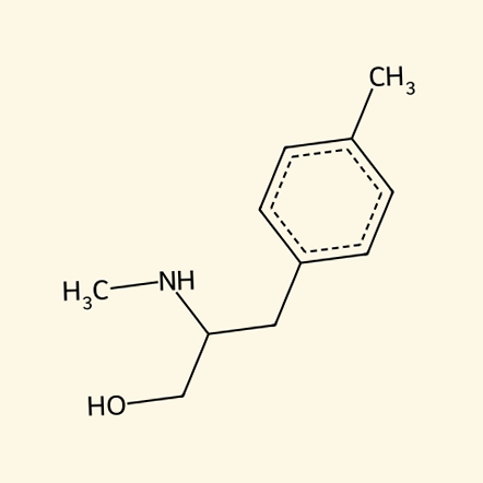 CNC(CO)Cc1ccc(C)cc1